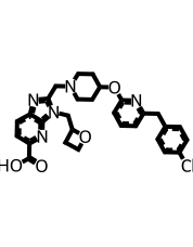 O=C(O)c1ccc2nc(CN3CCC(Oc4cccc(Cc5ccc(Cl)cc5)n4)CC3)n(CC3CCO3)c2n1